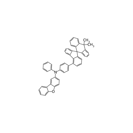 CC1(C)c2ccccc2C2(c3ccccc3-c3c(-c4ccc(N(c5ccccc5)c5ccc6oc7ccccc7c6c5)cc4)cccc32)c2ccccc21